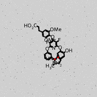 COc1cc(CCC(=O)O)cc(OC)c1Oc1c(F)c(Oc2cccc(C3=NCCN3C)c2)nc(Oc2cc(C(=N)N)ccc2O)c1F